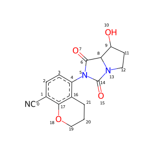 N#Cc1ccc(N2C(=O)C3C(O)CCN3C2=O)c2c1OCCC2